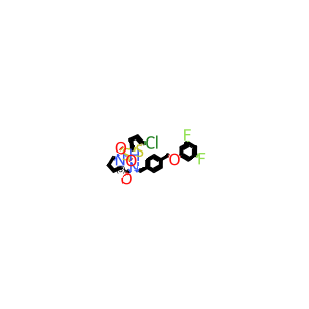 O=C(NCc1ccc(COc2cc(F)cc(F)c2)cc1)[C@@H]1CCCN1S(=O)(=O)c1ccc(Cl)s1